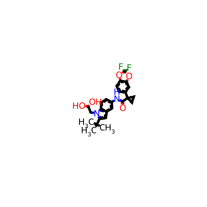 CC(C)(C)c1cc2cc(NC(=O)C3(c4ccc5c(c4)OC(F)(F)O5)CC3)ccc2n1CC(O)O